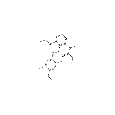 CCOc1cccc(N(C)C(=O)CC)c1COc1cc(C)c(CC)cc1C